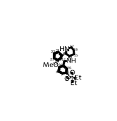 CCN(CC)S(=O)(=O)c1ccc(OC)c(CN[C@H]2CCCN[C@H]2c2ccccc2)c1